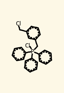 ClCc1cccc(CP(Cl)(c2ccccc2)(c2ccccc2)c2ccccc2)c1